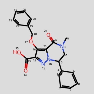 CN1CC(c2ccccc2)n2nc(C(=O)O)c(OCc3ccccc3)c2C1=O